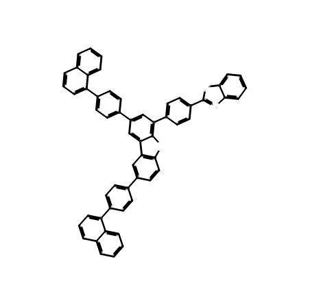 c1ccc2c(-c3ccc(-c4ccc5sc6c(-c7ccc(-c8nc9ccccc9o8)cc7)cc(-c7ccc(-c8cccc9ccccc89)cc7)cc6c5c4)cc3)cccc2c1